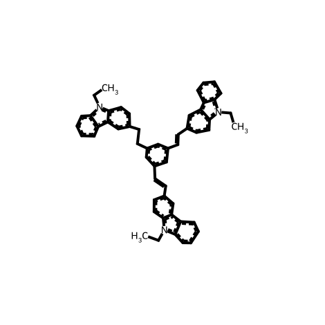 CCn1c2ccccc2c2cc(/C=C/c3cc(/C=C/c4ccc5c(c4)c4ccccc4n5CC)cc(CCc4ccc5c(c4)c4ccccc4n5CC)c3)ccc21